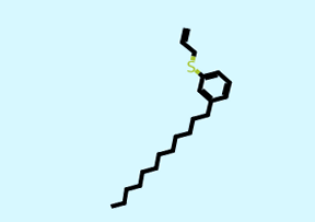 C=CCSc1cccc(CCCCCCCCCCCC)c1